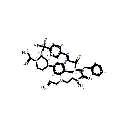 C=CCOCCN(C)C(=O)[C@H](Cc1ccccc1)N(Cc1ccc(N2CCN(C(C)=O)CC2)cc1)C(=O)/C=C/c1ccc(C(F)(F)F)nc1